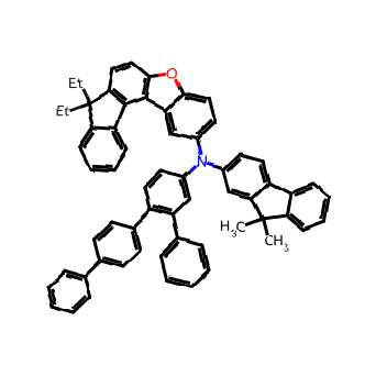 CCC1(CC)c2ccccc2-c2c1ccc1oc3ccc(N(c4ccc(-c5ccc(-c6ccccc6)cc5)c(-c5ccccc5)c4)c4ccc5c(c4)C(C)(C)c4ccccc4-5)cc3c21